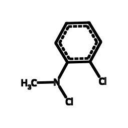 CN(Cl)c1ccccc1Cl